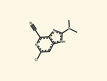 CN(C)c1nc2c(C#N)nc(Cl)cc2[nH]1